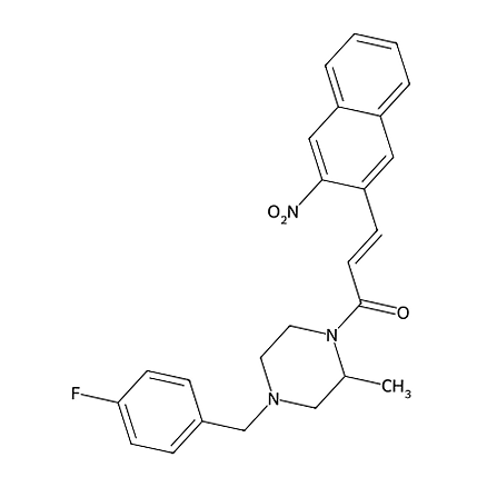 CC1CN(Cc2ccc(F)cc2)CCN1C(=O)C=Cc1cc2ccccc2cc1[N+](=O)[O-]